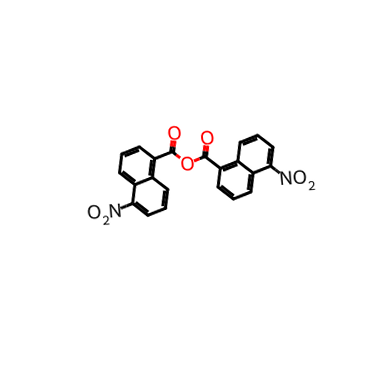 O=C(OC(=O)c1cccc2c([N+](=O)[O-])cccc12)c1cccc2c([N+](=O)[O-])cccc12